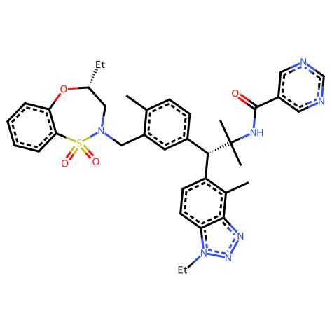 CC[C@@H]1CN(Cc2cc([C@@H](c3ccc4c(nnn4CC)c3C)C(C)(C)NC(=O)c3cncnc3)ccc2C)S(=O)(=O)c2ccccc2O1